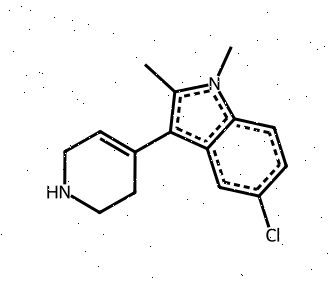 Cc1c(C2=CCNCC2)c2cc(Cl)ccc2n1C